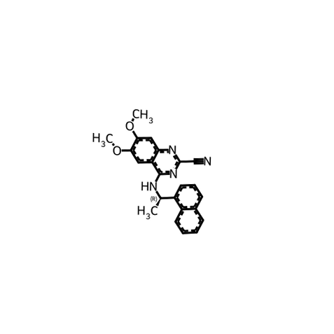 COc1cc2nc(C#N)nc(N[C@H](C)c3cccc4ccccc34)c2cc1OC